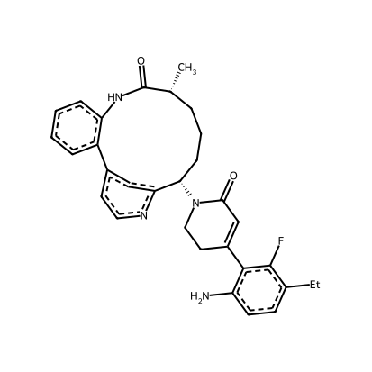 CCc1ccc(N)c(C2=CC(=O)N([C@H]3CCC[C@@H](C)C(=O)Nc4ccccc4-c4ccnc3c4)CC2)c1F